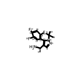 C[C@@H](N)c1cnn(C(C)(C)C)c1-c1cc(F)c(F)cc1F